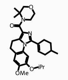 COc1cc2c(cc1OC(C)C)-n1c(C3=CCC(C)CC3)nc(C(=O)N3CCOCC3(C)C)c1CC2